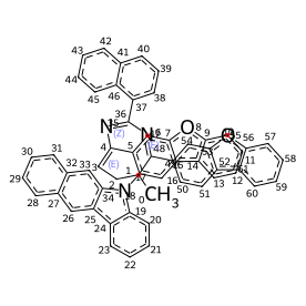 CC1C/C=C(c2cc3oc4ccccc4c3cc2-n2c3ccccc3c3cc4ccccc4cc32)/N=C(c2cccc3ccccc23)\N=C/1c1ccc2c(c1)oc1ccccc12